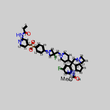 C=CC(=O)Nc1cc(S(=O)(=O)c2ccc(N3CC(F)(CN4CCC(C(CN5CCC5)(c5cccc(F)c5)[C@H]5CCC[C@@H]5NC(=O)OC)CC4)C3)cc2)ccn1